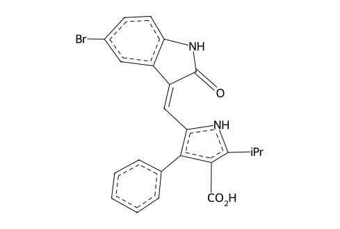 CC(C)c1[nH]c(C=C2C(=O)Nc3ccc(Br)cc32)c(-c2ccccc2)c1C(=O)O